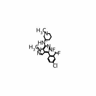 CN1CCC[C@@H](Nc2nnc(-c3ccc(Cl)cc3C(F)F)c3cnn(C)c23)C1